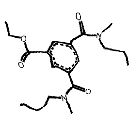 CCCN(C)C(=O)c1cc(C(=O)OCC)cc(C(=O)N(C)CCC)c1